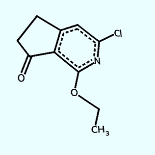 CCOc1nc(Cl)cc2c1C(=O)CC2